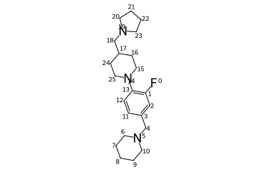 Fc1cc(CN2CCCCC2)ccc1N1CCC(CN2CCCC2)CC1